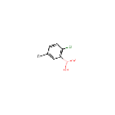 CC(C)c1ccc(Cl)c(B(O)O)c1